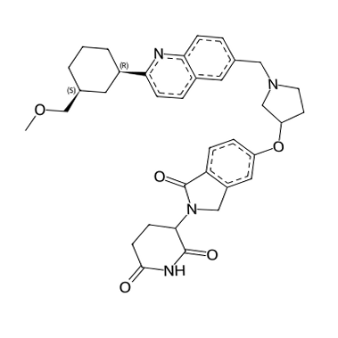 COC[C@H]1CCC[C@@H](c2ccc3cc(CN4CCC(Oc5ccc6c(c5)CN(C5CCC(=O)NC5=O)C6=O)C4)ccc3n2)C1